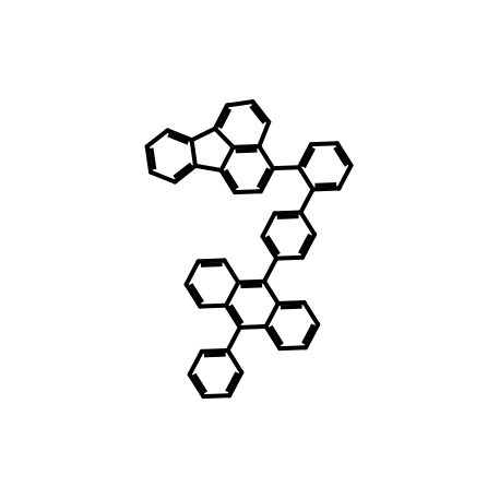 c1ccc(-c2c3ccccc3c(-c3ccc(-c4ccccc4-c4ccc5c6c(cccc46)-c4ccccc4-5)cc3)c3ccccc23)cc1